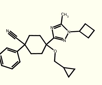 Cc1nc(C2(OCC3CC3)CCC(C#N)(c3ccccc3)CC2)nn1C1CCC1